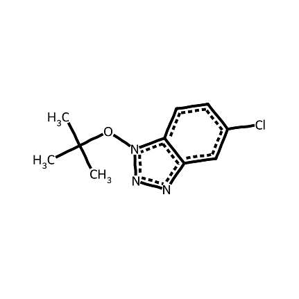 CC(C)(C)On1nnc2cc(Cl)ccc21